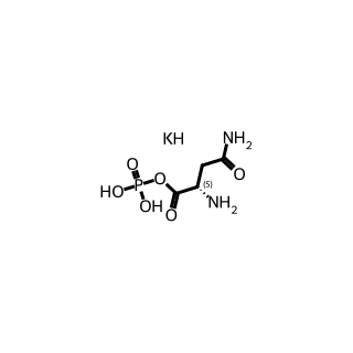 NC(=O)C[C@H](N)C(=O)OP(=O)(O)O.[KH]